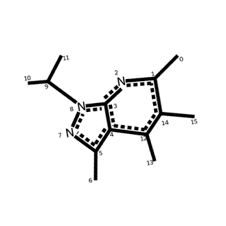 Cc1nc2c(c(C)nn2C(C)C)c(C)c1C